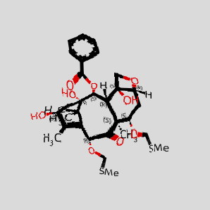 CSCO[C@H]1C(=O)[C@]2(C)[C@@H](OCSC)C[C@H]3OC[C@@]3(O)[C@H]2[C@H](OC(=O)c2ccccc2)[C@]2(O)C[C@H](O)C(C)=C1C2(C)C